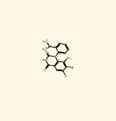 Cc1c(Br)c(Cl)cc2c(=O)[nH]c(=O)n(-c3ccccc3C(C)C)c12